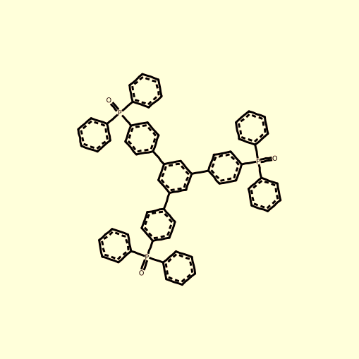 O=P(c1ccccc1)(c1ccccc1)c1ccc(-c2cc(-c3ccc(P(=O)(c4ccccc4)c4ccccc4)cc3)cc(-c3ccc(P(=O)(c4ccccc4)c4ccccc4)cc3)c2)cc1